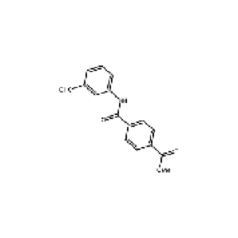 COC(=O)c1ccc(C(=O)Nc2cccc(C=O)c2)cc1